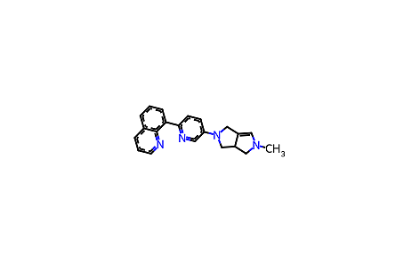 CN1C=C2CN(c3ccc(-c4cccc5cccnc45)nc3)CC2C1